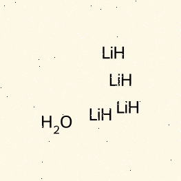 O.[LiH].[LiH].[LiH].[LiH]